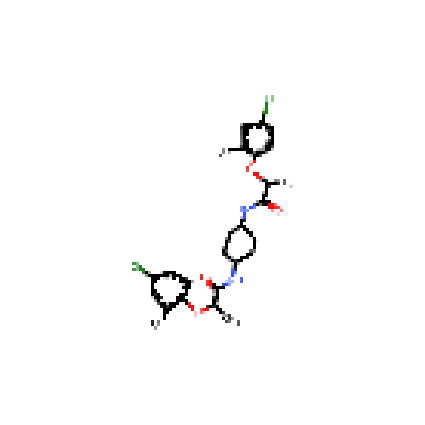 Cc1cc(Cl)ccc1OC(C)C(=O)NC1CCC(NC(=O)C(C)Oc2ccc(Cl)cc2C)CC1